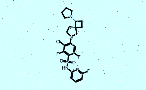 O=S(=O)(Nc1cccc(F)n1)c1c(F)cc(N2CC[C@@]3(CC[C@H]3N3CCCC3)C2)c(Cl)c1F